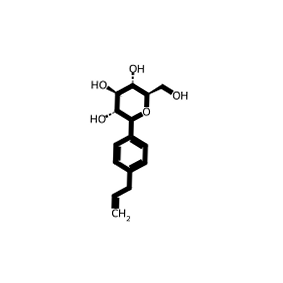 C=CCc1ccc(C2O[C@H](CO)[C@@H](O)[C@H](O)[C@H]2O)cc1